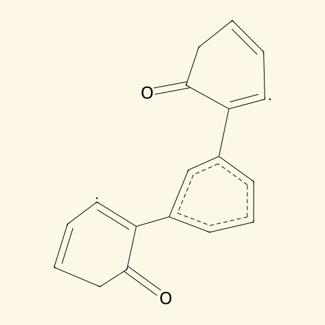 O=C1CC=C[C]=C1c1cccc(C2=[C]C=CCC2=O)c1